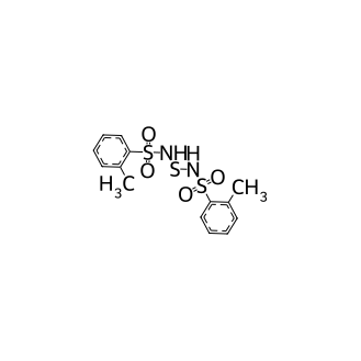 Cc1ccccc1S(=O)(=O)NSNS(=O)(=O)c1ccccc1C